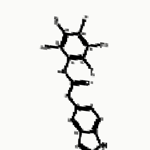 O=C(Cc1ccc2[nH]ccc2c1)Oc1c(F)c(F)c(F)c(F)c1F